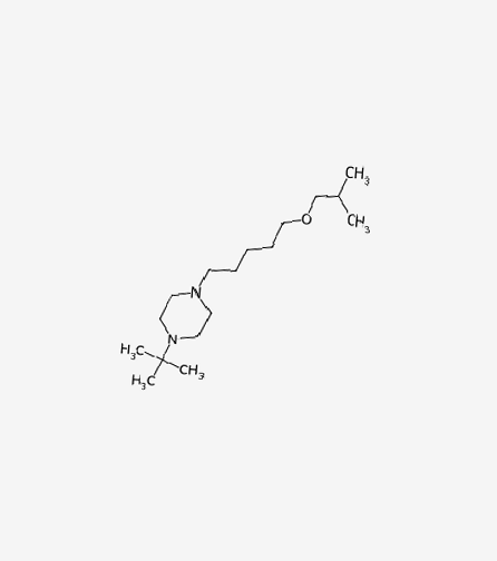 CC(C)COCCCCCN1CCN(C(C)(C)C)CC1